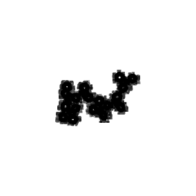 c1ccc(-n2c3ccccc3c3cc(-c4ccc5c(c4)c4ccccc4n5-c4ccc([Si]5(c6cccc(-c7ccc8c(c7)c7ccccc7n8-c7ccc8c(c7)c7c9ccccc9ccc7n8-c7ccc8c(c7)[Si]7(c9ccccc9-c9ccccc97)c7ccccc7-8)c6)c6ccccc6-c6ccccc65)cc4)ccc32)cc1